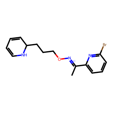 C/C(=N\OCCCC1C=CC=[C]N1)c1cccc(Br)n1